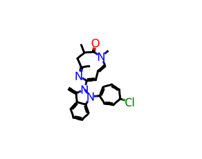 C=C1c2ccccc2N(C2=CC=CC(Cl)C=C2)N1C1=C/C=C/N(C)C(=O)C(C)C\C(C)=N\1